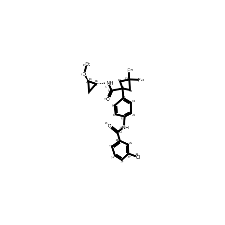 CCO[C@@H]1C[C@H]1NC(=O)C1(c2ccc(NC(=O)c3cccc(Cl)c3)cc2)CC(F)(F)C1